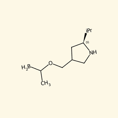 BC(C)OCC1CN[C@H](C(C)C)C1